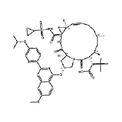 COc1ccc2c(O[C@@H]3C[C@H]4C(=O)N[C@]5(C(=O)NS(=O)(=O)C6CC6)C[C@H]5/C=C\CC[C@H](C)C[C@@H](C)[C@H](N(C(=O)O)C(C)(C)C)C(=O)N4C3)nc(-c3ccc(OC(C)C)cn3)cc2c1